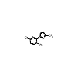 CC(=O)c1ccc(Cl)nc1-n1ccc(C(F)(F)F)n1